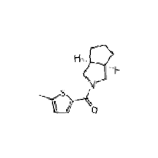 Cc1ccc(C(=O)N2C[C@H]3CCC[C@H]3C2)s1